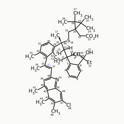 [2H]C(C)(c1ccccc1C(C)(O)CC)C([2H])([2H])[C@@](C)(SCC1(CC(=O)O)C(C)(C)C1(C)C)c1ccc(C)c(/C(C)=C/c2cc(C)c3c(C)c(C)c(Cl)cc3n2)c1C